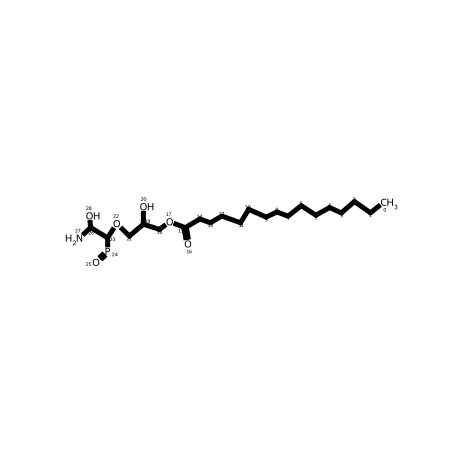 CCCCCCCCCCCCCCCC(=O)OCC(O)COC(P=O)C(N)O